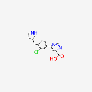 O=C(O)c1cc(-c2ccc(CC3CCNC3)c(Cl)c2)ncn1